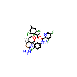 CC1CC(F)C(F)(C(C)C)C(F)([C@H]2C[C@H]3CSC(N)=N[C@@]3(c3cc(NC(=O)c4ncc(F)cc4F)ccc3F)CO2)C1